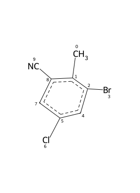 Cc1c(Br)cc(Cl)cc1C#N